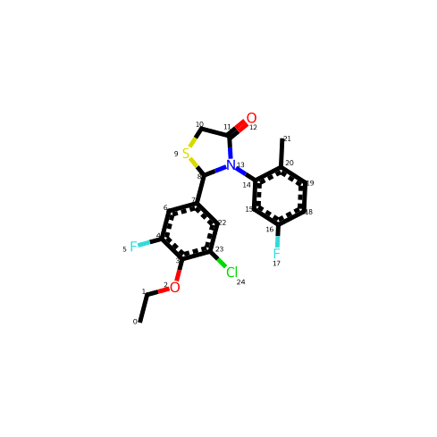 CCOc1c(F)cc(C2SCC(=O)N2c2cc(F)ccc2C)cc1Cl